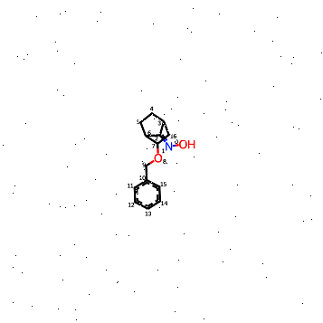 ON=C1C2CCC1C(OCc1ccccc1)C2